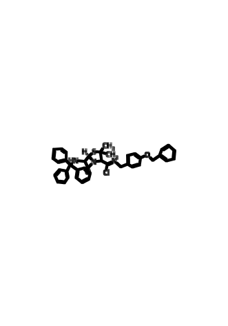 CC1(C)S[C@@H]2C(NC(c3ccccc3)(c3ccccc3)c3ccccc3)C(=O)N2C1/C(Cl)=N/Cc1ccc(OCc2ccccc2)cc1